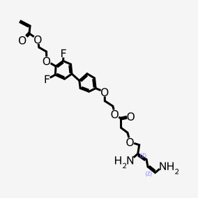 C=CC(=O)OCCOc1c(F)cc(-c2ccc(OCCOC(=O)CCOC/C(N)=C/C=C\N)cc2)cc1F